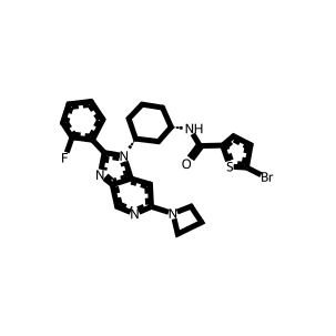 O=C(N[C@H]1CCC[C@@H](n2c(-c3ccccc3F)nc3cnc(N4CCC4)cc32)C1)c1ccc(Br)s1